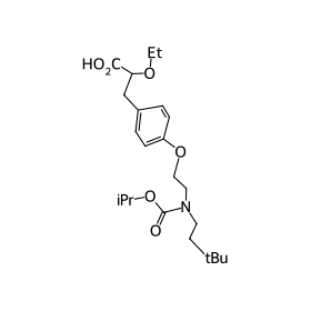 CCOC(Cc1ccc(OCCN(CCC(C)(C)C)C(=O)OC(C)C)cc1)C(=O)O